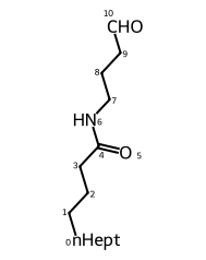 CCCCCCCCCCC(=O)NCCCC=O